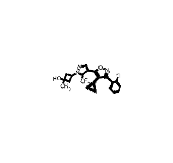 CC1(O)CC(N2N=CC(c3onc(-c4ccccc4Cl)c3C3CC3)C2C(F)(F)F)C1